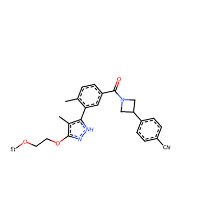 CCOCCOc1n[nH]c(-c2cc(C(=O)N3CC(c4ccc(C#N)cc4)C3)ccc2C)c1C